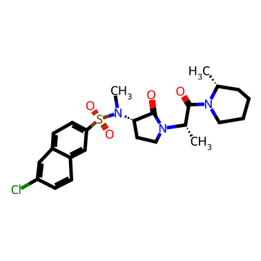 C[C@@H]1CCCCN1C(=O)[C@H](C)N1CC[C@H](N(C)S(=O)(=O)c2ccc3cc(Cl)ccc3c2)C1=O